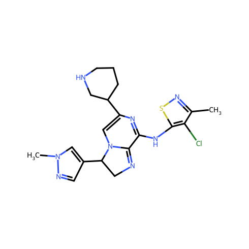 Cc1nsc(NC2=NC(C3CCCNC3)=CN3C2=NCC3c2cnn(C)c2)c1Cl